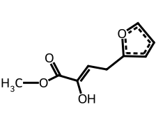 COC(=O)C(O)=CCc1ccco1